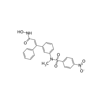 CN(c1cccc(C(=CC(=O)NO)c2ccccc2)c1)S(=O)(=O)c1ccc([N+](=O)[O-])cc1